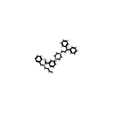 CCCCN(Cc1ccccc1)C(=O)c1cccc(N2CCN(CCC(c3ccccc3)c3ccccc3)CC2)c1